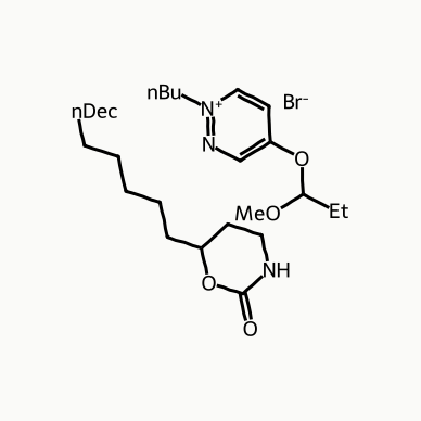 CCCCCCCCCCCCCCCC1CCNC(=O)O1.CCCC[n+]1ccc(OC(CC)OC)cn1.[Br-]